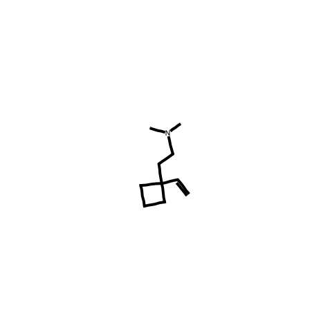 C=CC1(CCN(C)C)CCC1